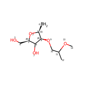 B[C@@H]1O[C@H](CO)C(O)[C@@H]1OCC(C)OC